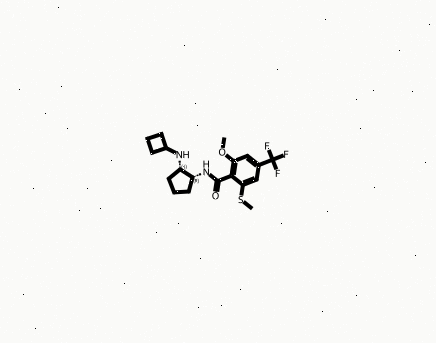 COc1cc(C(F)(F)F)cc(SC)c1C(=O)N[C@@H]1CCC[C@@H]1NC1CCC1